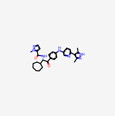 Cc1n[nH]c(C)c1-c1ccc(Nc2ccc(C(=O)[C@@H](NC(=O)c3ccnn3C)C3CCCCCC3)cc2)cn1